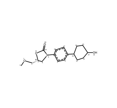 COC[C@H]1CN(c2ccc(C3CCC(O)CC3)cc2)C(=O)O1